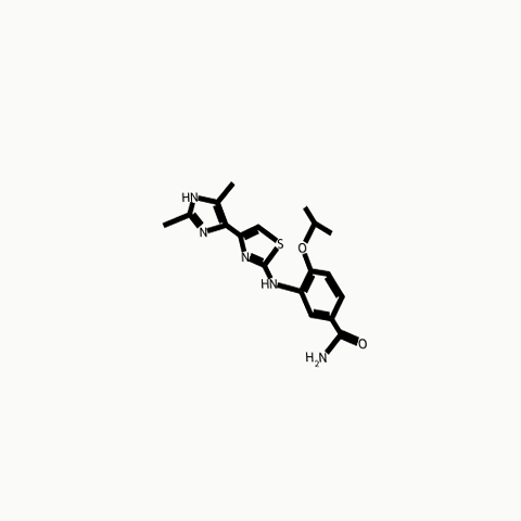 Cc1nc(-c2csc(Nc3cc(C(N)=O)ccc3OC(C)C)n2)c(C)[nH]1